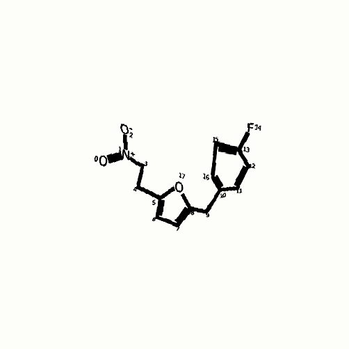 O=[N+]([O-])CCc1ccc(Cc2ccc(F)cc2)o1